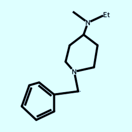 CCN(C)C1CCN([CH]c2ccccc2)CC1